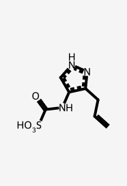 C=CCc1n[nH]cc1NC(=O)S(=O)(=O)O